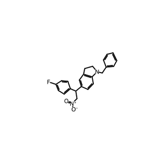 O=[N+]([O-])CC(c1ccc(F)cc1)c1ccc2c(c1)CCN2Cc1ccccc1